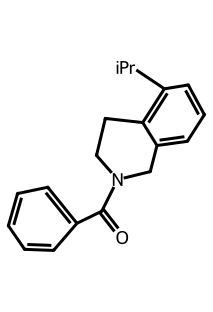 CC(C)c1cccc2c1CCN(C(=O)c1ccccc1)C2